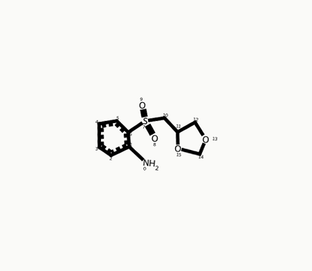 Nc1ccccc1S(=O)(=O)CC1COCO1